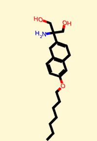 CCCCCCCOc1ccc2c(c1)CC=C(C(N)(CO)CO)C2